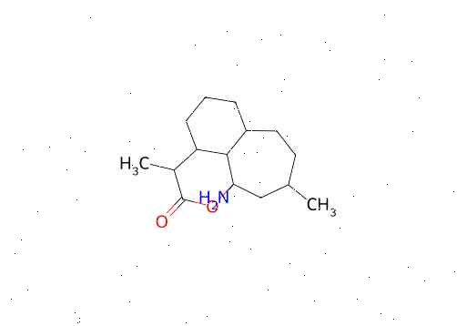 CC1CCC2CCCC3C(C)C(=O)OC(N)(C1)C23